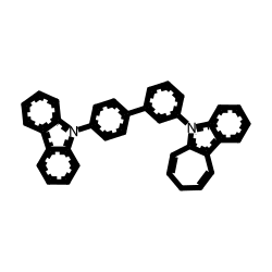 C1=Cc2c(n(-c3cccc(-c4ccc(-n5c6ccccc6c6ccccc65)cc4)c3)c3ccccc23)C=CC1